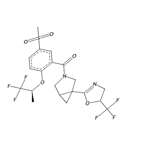 C[C@H](Oc1ccc(S(C)(=O)=O)cc1C(=O)N1CC2CC2(C2=NCC(C(F)(F)F)O2)C1)C(F)(F)F